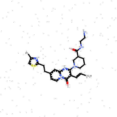 CC(C)c1csc(CCc2ccn3c(=O)c(C=CC(=O)O)c(N4CCCC(C(=O)NCCN)C4)nc3c2)n1